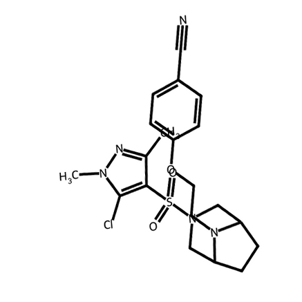 Cc1nn(C)c(Cl)c1S(=O)(=O)N1CC2CCC(C1)N2CCOc1ccc(C#N)cc1